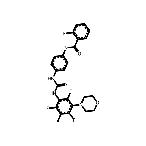 Cc1c(F)c(NC(=S)Nc2ccc(NC(=O)c3ccccc3F)cc2)c(F)c(N2CCOCC2)c1F